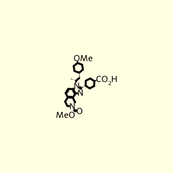 COC(=O)N1CCc2ccc3c(nc([C@H]4CC[C@H](C(=O)O)CC4)n3[C@H](C)C[C@H]3CC[C@H](OC)CC3)c2C1